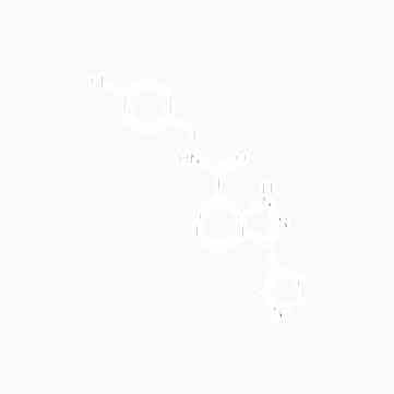 O=C(NCc1ccc(Cl)cc1)c1cccc2c(-c3ccns3)n[nH]c12